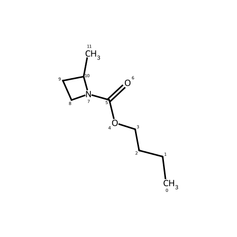 CCCCOC(=O)N1CCC1C